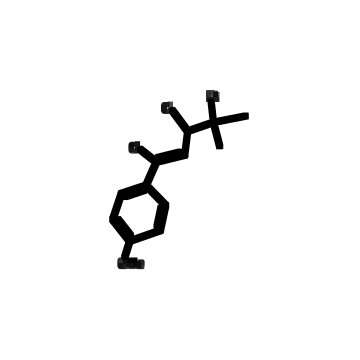 CCC(C)(C)C(Cl)C=C(Cl)c1ccc(OC)cc1